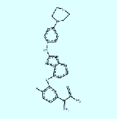 C=C(C(N)=O)c1ccc(F)c(Oc2cccc3nc(Nc4ccc(N5CCOCC5)cc4)nn23)c1